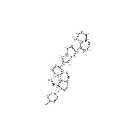 Cc1ccc(-c2ccc3ccc4c(-c5nc6cc(-c7cccc8ccccc78)ccc6o5)ccc5ccc2c3c54)cc1